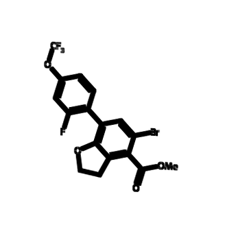 COC(=O)c1c(Br)cc(-c2ccc(OC(F)(F)F)cc2F)c2c1CCO2